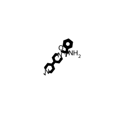 CN1CCC(C2CCN(C(=O)[C@@](C)(N)c3ccccc3)CC2)CC1